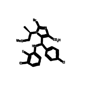 COC[C@@H](C)n1c(Br)nc(C(=O)O)c1C(Nc1cccc(Cl)c1F)c1ccc(Cl)cc1